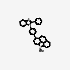 CC(C)(C)n1c2cccc3ccc4c(-c5ccc(-n6c(-c7ccccc7)nc7ccccc76)cc5)ccc1c4c32